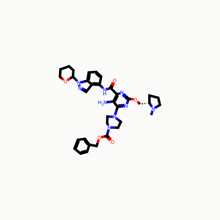 CN1CCC[C@H]1COc1nc(C(=O)Nc2cccc3c2cnn3C2CCCCO2)c(N)c(N2CCN(C(=O)OCc3ccccc3)CC2)n1